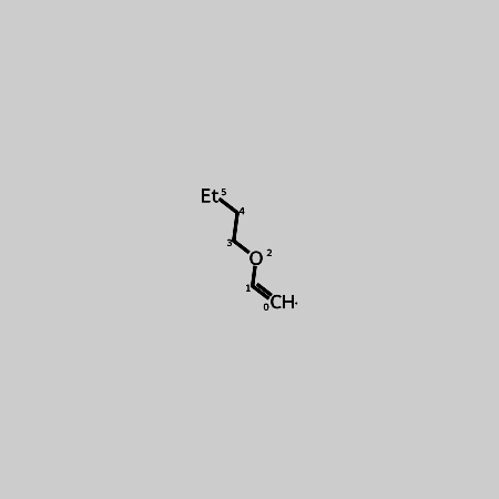 [CH]=COCCCC